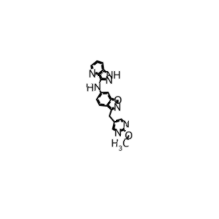 COc1ncc(Cc2noc3cc(Nc4n[nH]c5cccnc45)ccc23)cn1